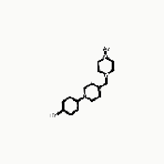 CC(=O)N1CCN(CC2CCN(C3CCC(C(C)C)CC3)CC2)CC1